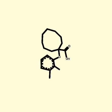 Cc1cccc(OC2(C(=O)O)CCCCCCCC2)c1C